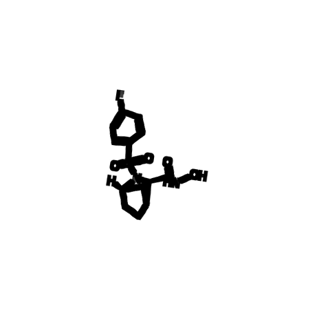 O=C(NO)[C@H]1C2CC[C@@H](C2)N1S(=O)(=O)c1ccc(F)cc1